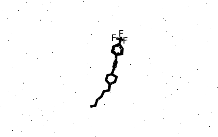 CCCCCCC1CCC(C#Cc2ccc(C(F)(F)F)cc2)CC1